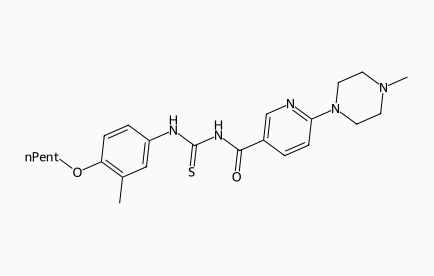 CCCCCOc1ccc(NC(=S)NC(=O)c2ccc(N3CCN(C)CC3)nc2)cc1C